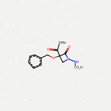 COC(=O)C1(OCc2ccccc2)CN(NC(=O)O)C1=O